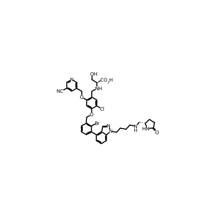 N#Cc1cncc(COc2cc(OCc3cccc(-c4cccc5c4cnn5CCCCNC[C@@H]4CCC(=O)N4)c3Br)c(Cl)cc2CN[C@@H](CO)C(=O)O)c1